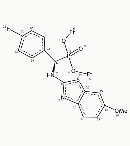 CCOP(=O)(OCC)[C@@H](Nc1nc2ccc(OC)cc2s1)c1ccc(F)cc1